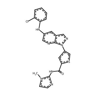 Cn1ccnc1NC(=O)c1cc(-n2ncc3cc(Nc4ccccc4Cl)cnc32)cs1